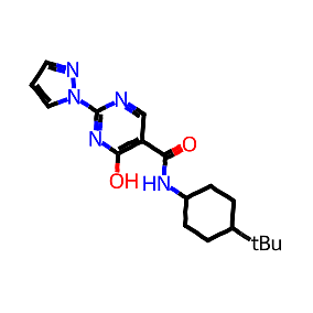 CC(C)(C)C1CCC(NC(=O)c2cnc(-n3cccn3)nc2O)CC1